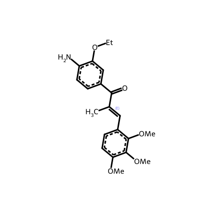 CCOc1cc(C(=O)/C(C)=C/c2ccc(OC)c(OC)c2OC)ccc1N